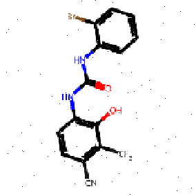 N#Cc1ccc(NC(=O)Nc2ccccc2Br)c(O)c1C(F)(F)F